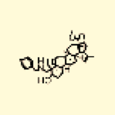 C=C(C)[C@@H]1CC[C@]2(C(=O)OC)CC[C@]3(C)[C@H](CC[C@@H]4[C@@]5(C)CCC(O)C(C)(CNCc6ccccc6)[C@@H]5CC[C@]43C)[C@@H]12